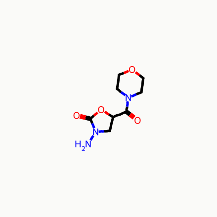 NN1CC(C(=O)N2CCOCC2)OC1=O